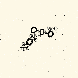 COc1ccccc1N1CCN(C2CCCCC2NS(=O)(=O)c2ccc(S(=O)(=O)N(C)C)cc2)CC1